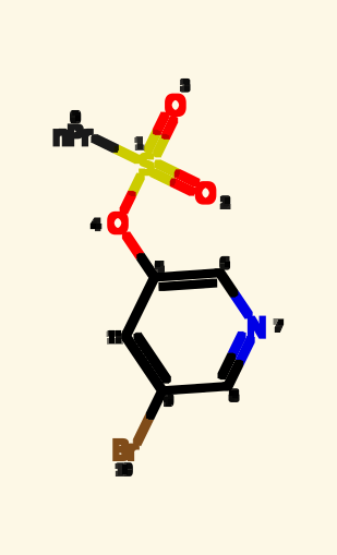 CCCS(=O)(=O)Oc1cncc(Br)c1